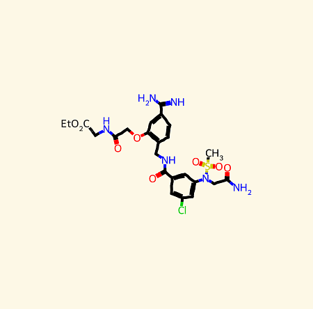 CCOC(=O)CNC(=O)COc1cc(C(=N)N)ccc1CNC(=O)c1cc(Cl)cc(N(CC(N)=O)S(C)(=O)=O)c1